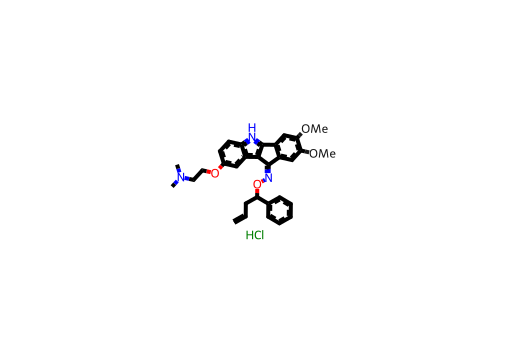 C=CCC(ON=C1c2cc(OC)c(OC)cc2-c2[nH]c3ccc(OCCN(C)C)cc3c21)c1ccccc1.Cl